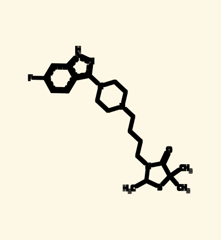 CC1SC(C)(C)C(=O)N1CCCCN1CCN(c2n[nH]c3cc(F)ccc23)CC1